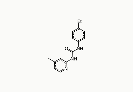 CCc1ccc(NC(=O)Nc2cc(C)ccn2)cc1